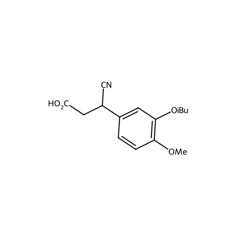 COc1ccc(C(C#N)CC(=O)O)cc1OCC(C)C